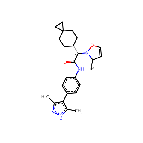 Cc1n[nH]c(C)c1-c1ccc(NC(=O)[C@H](C2CCC3(CC2)CC3)N2OC=CC2C(C)C)cc1